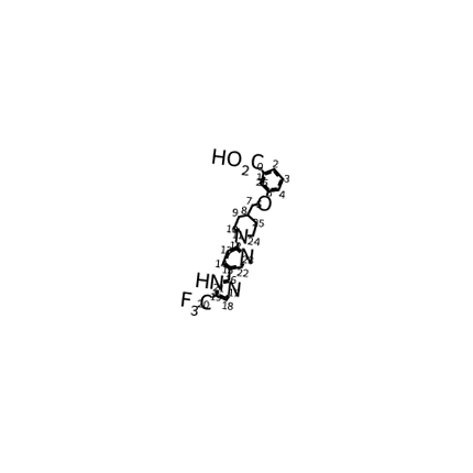 O=C(O)c1cccc(OCC2CCN(c3ccc(-c4ncc(C(F)(F)F)[nH]4)cn3)CC2)c1